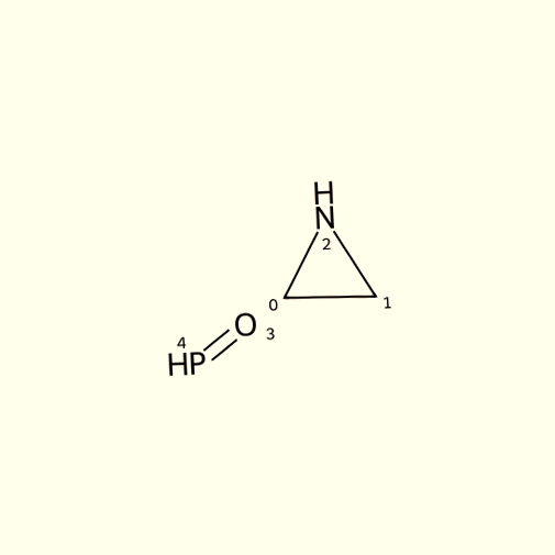 C1CN1.O=P